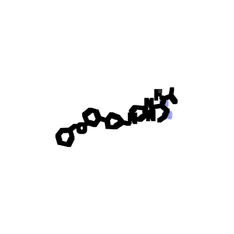 C=C(C)/C(F)=C(\C=C/C)c1nc2ccn(Cc3ccc(-c4cccc(OCc5ccccc5)c4)cc3)cc-2n1